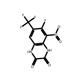 O=c1[nH]c2cc(C(F)(F)F)c(F)c([N+](=O)[O-])c2[nH]c1=O